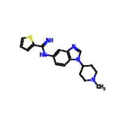 CN1CCC(n2cnc3cc(NC(=N)c4cccs4)ccc32)CC1